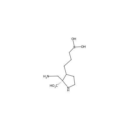 NC[C@]1(C(=O)O)NCCC1CCCB(O)O